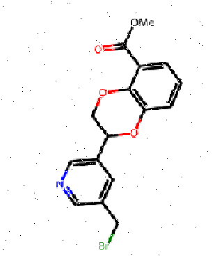 COC(=O)c1cccc2c1OCC(c1cncc(CBr)c1)O2